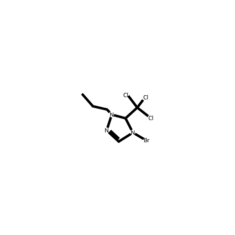 CCCN1N=CN(Br)C1C(Cl)(Cl)Cl